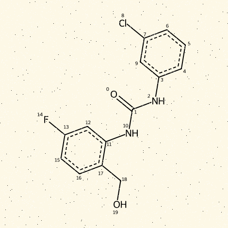 O=C(Nc1cccc(Cl)c1)Nc1cc(F)ccc1CO